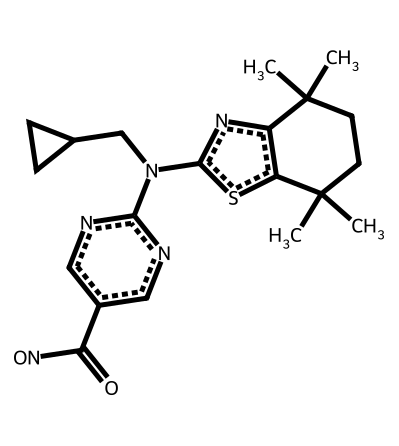 CC1(C)CCC(C)(C)c2sc(N(CC3CC3)c3ncc(C(=O)N=O)cn3)nc21